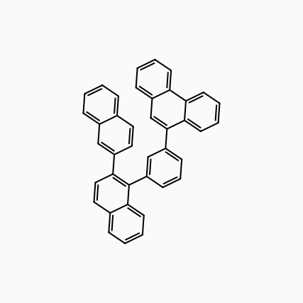 c1cc(-c2c(-c3ccc4ccccc4c3)ccc3ccccc23)cc(-c2cc3ccccc3c3ccccc23)c1